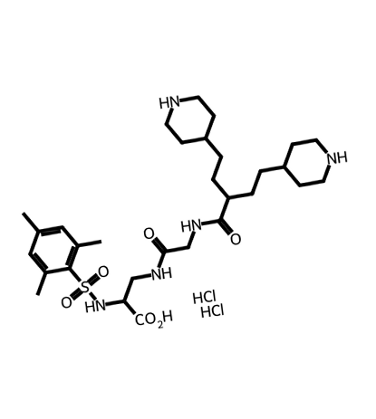 Cc1cc(C)c(S(=O)(=O)NC(CNC(=O)CNC(=O)C(CCC2CCNCC2)CCC2CCNCC2)C(=O)O)c(C)c1.Cl.Cl